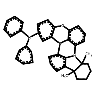 CC12CCCCC1(C)N1c3cccc4c3B(c3cc(N(c5ccccc5)c5ccccc5)ccc3O4)c3cccc2c31